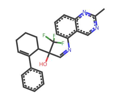 Cc1ncc2c(/N=C\C(O)(C3CCCC=C3c3ccccc3)C(F)(F)F)cccc2n1